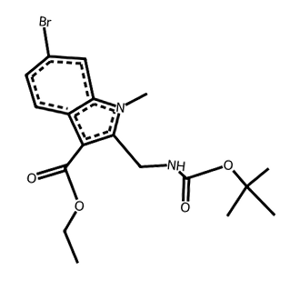 CCOC(=O)c1c(CNC(=O)OC(C)(C)C)n(C)c2cc(Br)ccc12